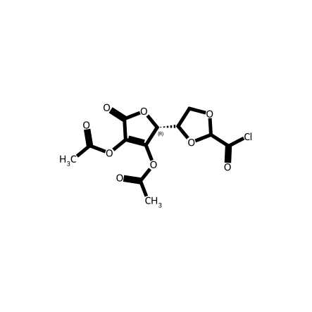 CC(=O)OC1=C(OC(C)=O)[C@@H](C2COC(C(=O)Cl)O2)OC1=O